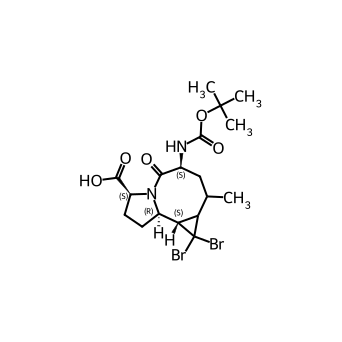 CC1C[C@H](NC(=O)OC(C)(C)C)C(=O)N2[C@H](CC[C@H]2C(=O)O)[C@@H]2C1C2(Br)Br